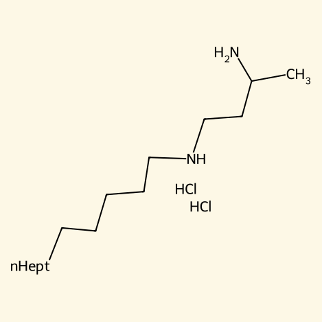 CCCCCCCCCCCCNCCC(C)N.Cl.Cl